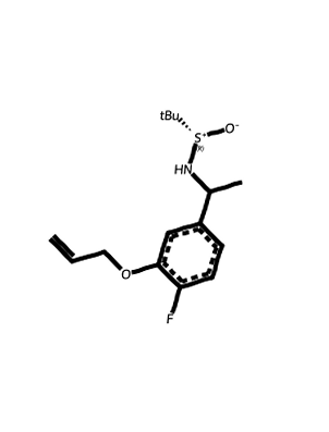 C=CCOc1cc(C(C)N[S@@+]([O-])C(C)(C)C)ccc1F